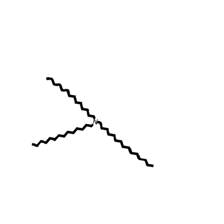 CCCCCCCCCCCCCCCN(CCCCCCCCCCCCCC)CCCCCCCCCCCCCC